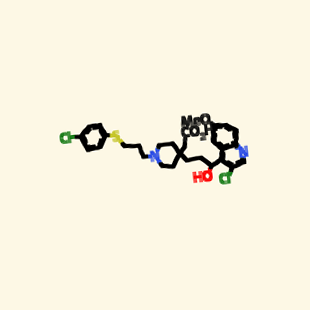 COc1ccc2ncc(Cl)c(C(O)CCC3(CC(=O)O)CCN(CCCSc4ccc(Cl)cc4)CC3)c2c1